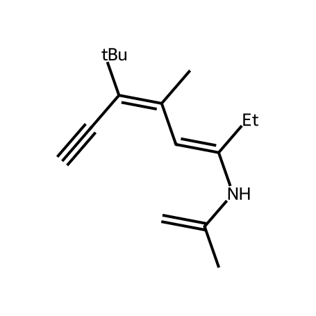 C#C/C(=C(C)\C=C(/CC)NC(=C)C)C(C)(C)C